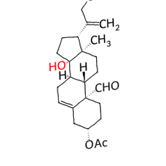 C=C(COC(C)=O)[C@H]1CC[C@]2(O)[C@@H]3CC=C4C[C@@H](OC(C)=O)CC[C@]4(C=O)[C@H]3CC[C@]12C